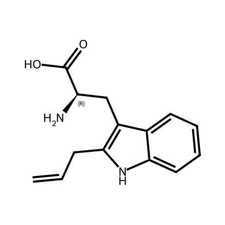 C=CCc1[nH]c2ccccc2c1C[C@@H](N)C(=O)O